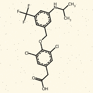 CC(C)Nc1cc(COc2c(Cl)cc(CC(=O)O)cc2Cl)cc(C(F)(F)F)c1